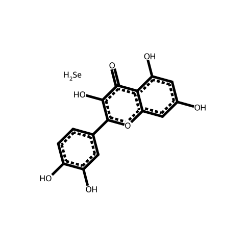 O=c1c(O)c(-c2ccc(O)c(O)c2)oc2cc(O)cc(O)c12.[SeH2]